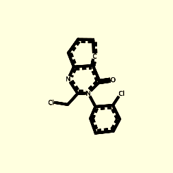 O=c1c2ccccc2nc(CCl)n1-c1ccccc1Cl